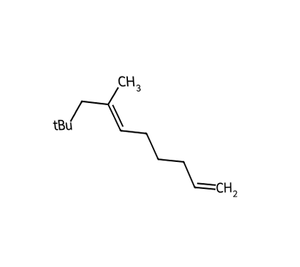 C=CCCCC=C(C)CC(C)(C)C